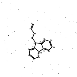 C=CCCC1c2ccccc2-c2ccccc21